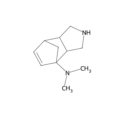 CN(C)C12C=CC(C1)C1CNCC12